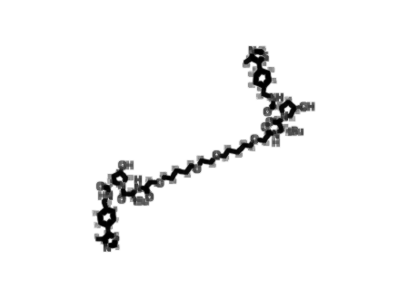 Cc1ncsc1-c1ccc(CNC(=O)[C@@H]2C[C@@H](O)CN2C(=O)[C@@H](NC(=O)COCCCCCOCCOCCCCCOCC(=O)N[C@H](C(=O)N2C[C@H](O)C[C@H]2C(=O)NCc2ccc(-c3scnc3C)cc2)C(C)(C)C)C(C)(C)C)cc1